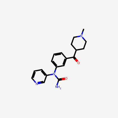 CN1CCC(C(=O)c2cccc(N(C(N)=O)c3cccnc3)c2)CC1